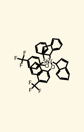 FC(F)(F)c1ccc([O][Zr]([O]c2ccc(C(F)(F)F)cc2)([CH]2C=Cc3ccccc32)([CH]2C=Cc3ccccc32)=[Si](c2ccccc2)c2ccccc2)cc1